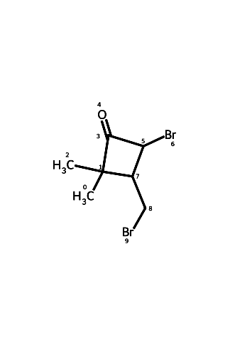 CC1(C)C(=O)C(Br)C1CBr